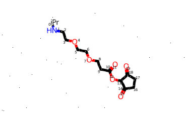 CC(C)NCCOCCOCCC(=O)OC1C(=O)CCC1=O